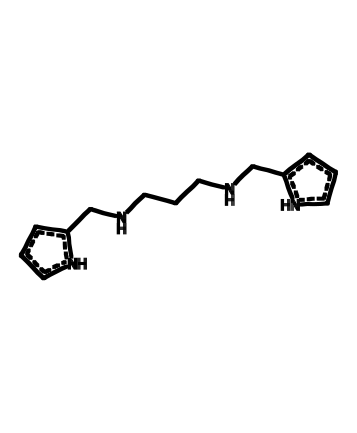 c1c[nH]c(CNCCCNCc2ccc[nH]2)c1